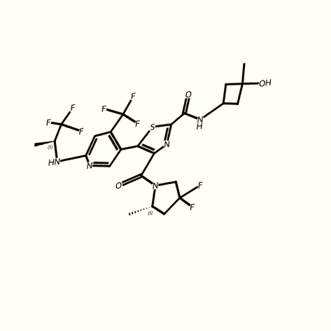 C[C@H](Nc1cc(C(F)(F)F)c(-c2sc(C(=O)NC3CC(C)(O)C3)nc2C(=O)N2CC(F)(F)C[C@@H]2C)cn1)C(F)(F)F